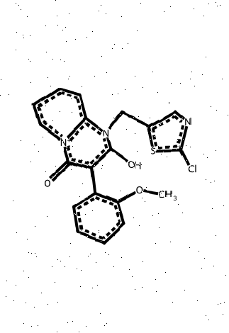 COc1ccccc1-c1c(O)n(Cc2cnc(Cl)s2)c2cccc[n+]2c1=O